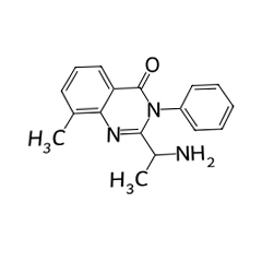 Cc1cccc2c(=O)n(-c3ccccc3)c(C(C)N)nc12